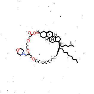 CCCCCCCC/C1=C\CCCCCCCCOCC(CN2CCOCC2)OCCOCC(=O)O[C@H]2CC[C@@]3(C)C(=CC[C@H]4[C@@H]5CC[C@@H](C5CC[C@@H]43)[C@H]1CCCC(C)C)C2